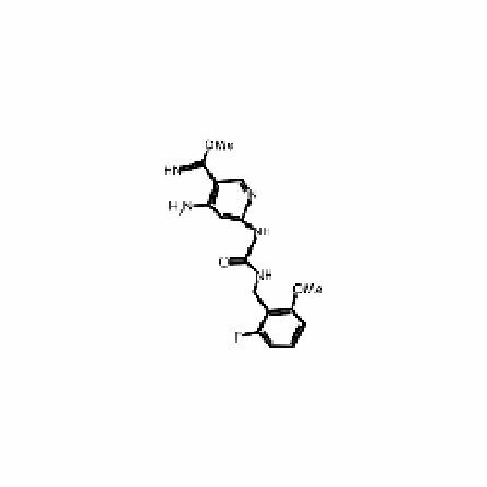 COC(=N)c1cnc(NC(=O)NCc2c(F)cccc2OC)cc1N